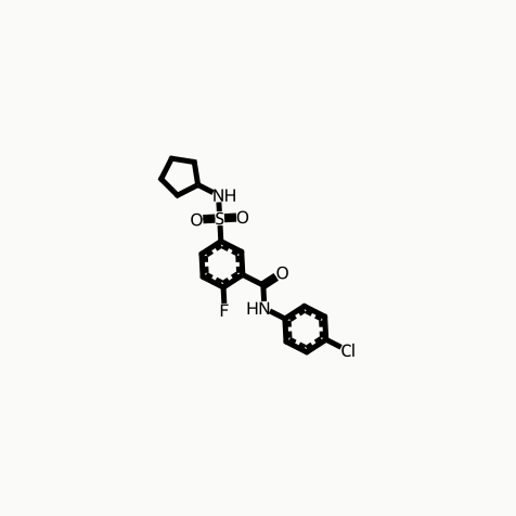 O=C(Nc1ccc(Cl)cc1)c1cc(S(=O)(=O)NC2CCCC2)ccc1F